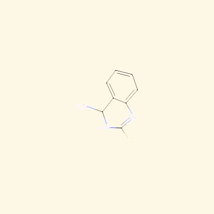 NC1NC(S)=Nc2ccccc21